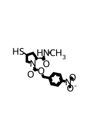 CNC(=O)[C@@H]1C[C@H](S)CN1C(=O)OCc1ccc([N+](=O)[O-])cc1